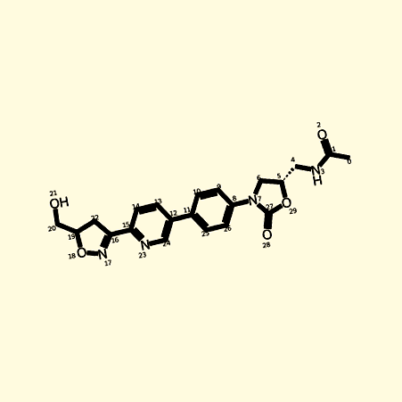 CC(=O)NC[C@H]1CN(c2ccc(-c3ccc(C4=NOC(CO)C4)nc3)cc2)C(=O)O1